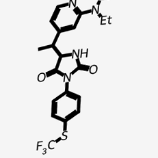 CCN(CC)c1cc(C(C)C2NC(=O)N(c3ccc(SC(F)(F)F)cc3)C2=O)ccn1